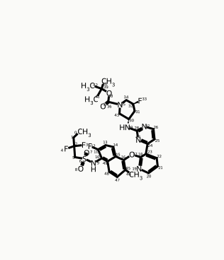 CCC(F)(F)CS(=O)(=O)Nc1c(F)ccc2c(Oc3ncccc3-c3ccnc(N[C@H]4C[C@H](F)CN(C(=O)OC(C)(C)C)C4)n3)c(C)ccc12